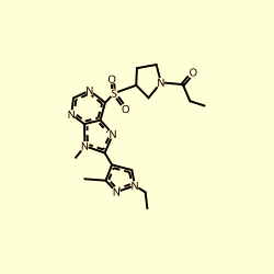 CCC(=O)N1CCC(S(=O)(=O)c2ncnc3c2nc(-c2cn(CC)nc2C)n3C)C1